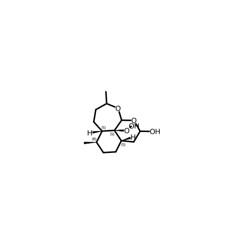 CC1CC[C@H]2[C@H](C)CC[C@H]3CC(O)OC(O1)[C@]32OO